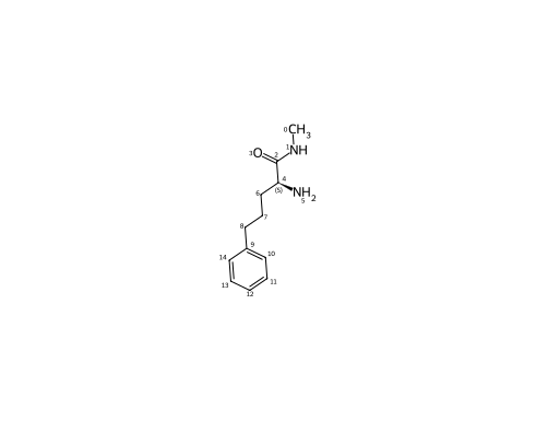 CNC(=O)[C@@H](N)CCCc1ccccc1